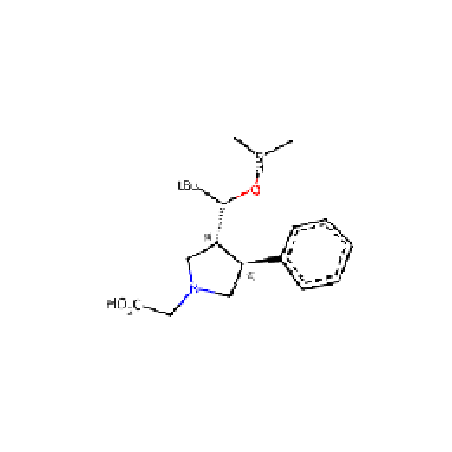 C[SiH](C)OC([C@H]1CN(CC(=O)O)C[C@@H]1c1ccccc1)C(C)(C)C